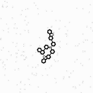 c1cc(-c2ccc3c(c2)oc2ccccc23)cc(N(c2cccc(-c3ccc4c(c3)sc3ccccc34)c2)c2cccc(-c3cccc4ccccc34)c2)c1